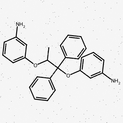 CC(Oc1cccc(N)c1)C(Oc1cccc(N)c1)(c1ccccc1)c1ccccc1